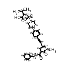 CC(C)[C@@H](NS(=O)(=O)N1CCN(c2ccc(C#Cc3cc(C(=O)NCc4ccccc4)c(=O)n(C)c3)cc2)CC1)C(=O)O